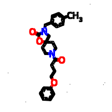 Cc1ccc(CN2CC3(CCN(C(=O)CCCOc4ccccc4)CC3)OC2=O)cc1